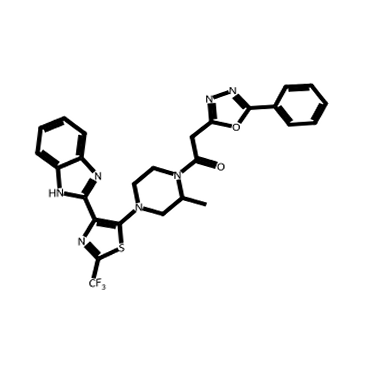 CC1CN(c2sc(C(F)(F)F)nc2-c2nc3ccccc3[nH]2)CCN1C(=O)Cc1nnc(-c2ccccc2)o1